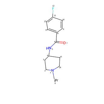 CC(C)N1CCC(NC(=O)c2ccc(F)cc2)CC1